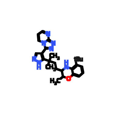 CC1Oc2cccc(C(C)(C)C)c2NC1CCC(C)(C)c1[nH]ncc1-c1nnc2ncccn12